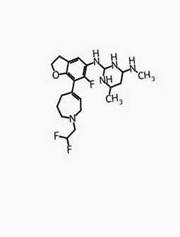 CNC1CC(C)NC(Nc2cc3c(c(C4=CCN(CC(F)F)CCC4)c2F)OCC3)N1